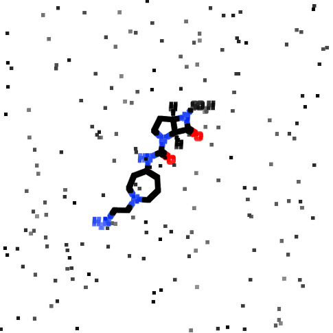 NCCN1CCC[C@H](NC(=O)N2CC[C@@H]3[C@H]2C(=O)N3S(=O)(=O)O)CC1